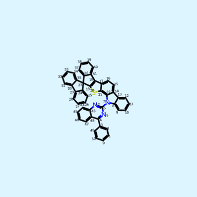 c1ccc(-c2nc(-n3c4ccccc4c4ccc5c6c(sc5c43)C3(c4ccccc4-c4ccccc43)c3ccccc3-6)nc3ccccc23)cc1